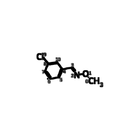 CON=Cc1c[c]cc(Cl)c1